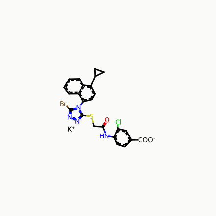 O=C(CSc1nnc(Br)n1-c1ccc(C2CC2)c2ccccc12)Nc1ccc(C(=O)[O-])cc1Cl.[K+]